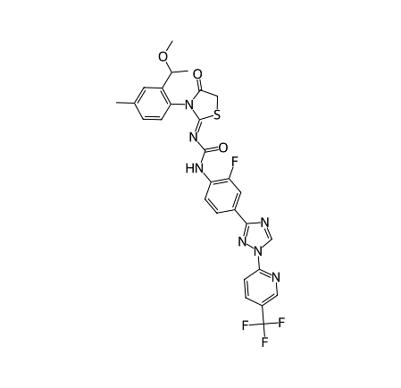 COC(C)c1cc(C)ccc1N1C(=O)CSC1=NC(=O)Nc1ccc(-c2ncn(-c3ccc(C(F)(F)F)cn3)n2)cc1F